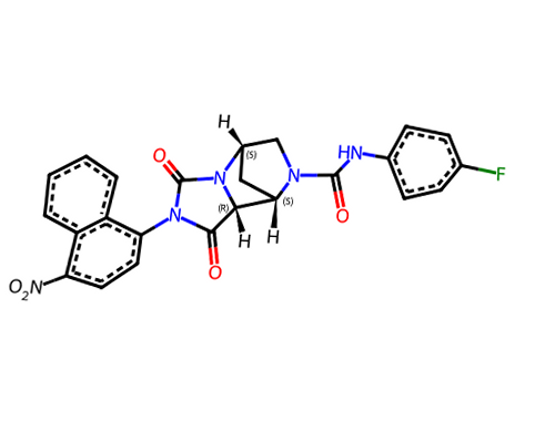 O=C1[C@H]2[C@@H]3C[C@@H](CN3C(=O)Nc3ccc(F)cc3)N2C(=O)N1c1ccc([N+](=O)[O-])c2ccccc12